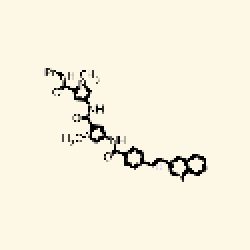 CC(C)NC(=O)c1cc(NC(=O)c2cc(NC(=O)c3ccc(/C=C/c4cnc5ccccc5c4)cc3)cn2C)cn1C